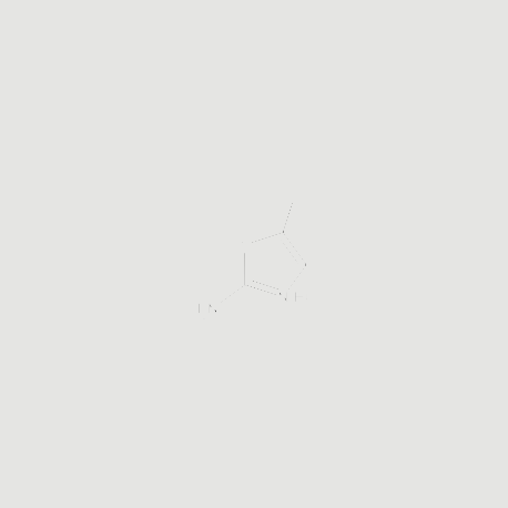 Cl.Nc1ncc(Cl)s1